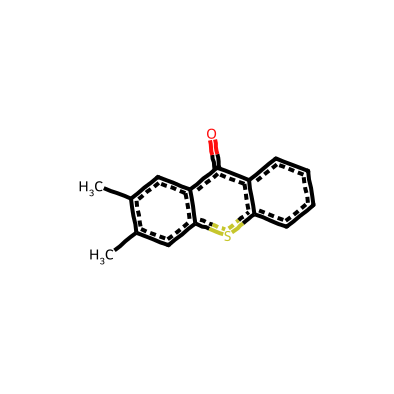 Cc1cc2sc3ccccc3c(=O)c2cc1C